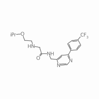 CC(C)OCCNCC(=O)NCc1cc(-c2ccc(C(F)(F)F)cc2)ncn1